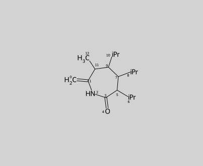 C=C1NC(=O)C(C(C)C)C(C(C)C)C(C(C)C)C1C